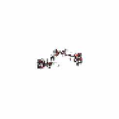 CN(CCCC(=O)NCCNC(=O)c1cccc(OCC(N=[N+]=[N-])OCCOCC(=O)NCC#Cc2cn(C3CC(OCN=[N+]=[N-])C(COP(=O)(O)OP(=O)(O)OP(=O)(O)O)O3)c(=O)nc2N)c1)C(=O)c1ccccc1-c1c(-c2nc3ccccc3s2)c(=O)oc2c3c4c(cc12)CCCN4CCC3